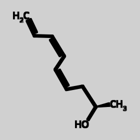 C=C/C=C\C=C/C[C@@H](C)O